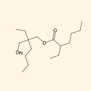 CCCCC(CC)C(=O)OCC(CC)(CO)CCCC